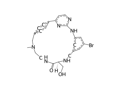 CN1CCNC(=O)[C@H](CO)NCc2cc(Br)cc(c2)Nc2nccc(n2)-c2ccc(cc2)C1